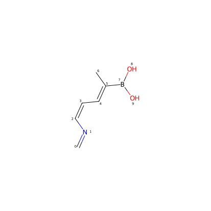 C=N/C=C\C=C(/C)B(O)O